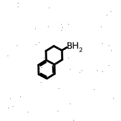 BC1CCc2ccccc2C1